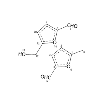 Cc1ccc(C=O)o1.O=Cc1ccc(CO)o1